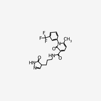 Cc1ccc(C(=O)NCCCC2C=NNC2=O)c(=O)n1-c1cccc(C(F)(F)F)c1